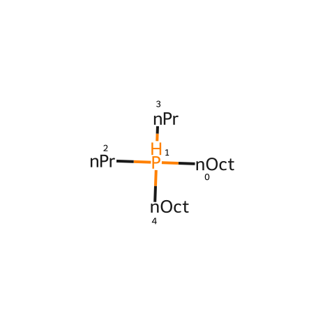 CCCCCCCC[PH](CCC)(CCC)CCCCCCCC